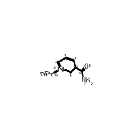 CCCN1CC=CC(C(N)=O)C1